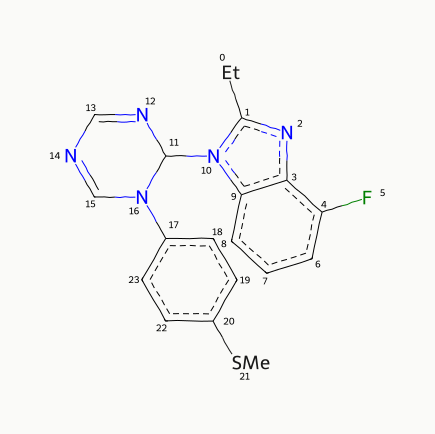 CCc1nc2c(F)cccc2n1C1N=CN=CN1c1ccc(SC)cc1